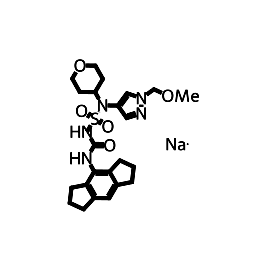 COCn1cc(N(C2CCOCC2)S(=O)(=O)NC(=O)Nc2c3c(cc4c2CCC4)CCC3)cn1.[Na]